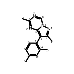 Cc1ccc(-c2c(C)nn3cnc(C)nc23)c(C)c1